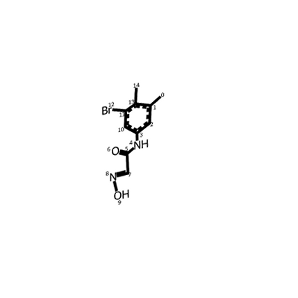 Cc1cc(NC(=O)/C=N/O)cc(Br)c1C